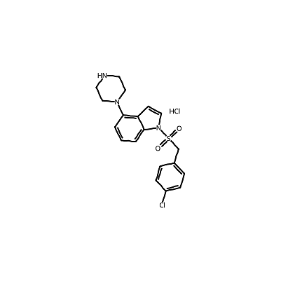 Cl.O=S(=O)(Cc1ccc(Cl)cc1)n1ccc2c(N3CCNCC3)cccc21